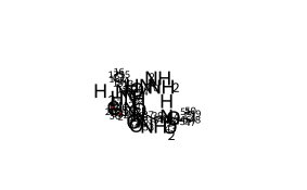 N=C(N)NCCC[C@H](NC(=O)[C@@H](N)Cc1ccccc1)C(=O)N[C@@H](CC12CCC(CC1)CC2)C(=O)N[C@@H](CCCCNC(=O)OCc1ccccc1)C(N)=O